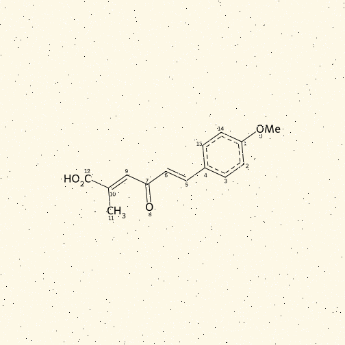 COc1ccc(C=CC(=O)C=C(C)C(=O)O)cc1